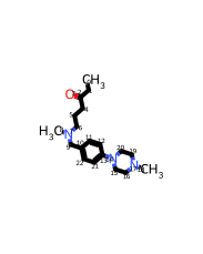 CCC(=O)CCCN(C)Cc1ccc(N2CCN(C)CC2)cc1